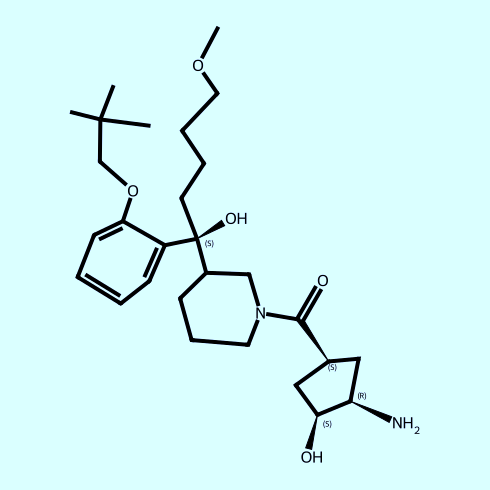 COCCCC[C@@](O)(c1ccccc1OCC(C)(C)C)C1CCCN(C(=O)[C@H]2C[C@@H](N)[C@@H](O)C2)C1